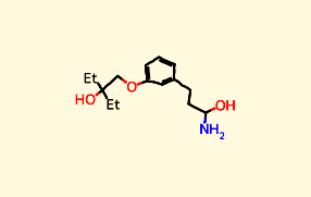 CCC(O)(CC)COc1cccc(CCC(N)O)c1